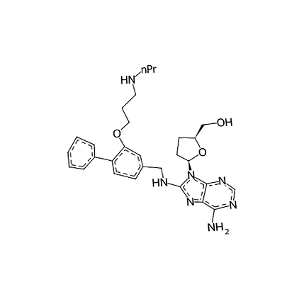 CCCNCCCOc1cc(CNc2nc3c(N)ncnc3n2[C@H]2CC[C@@H](CO)O2)ccc1-c1ccccc1